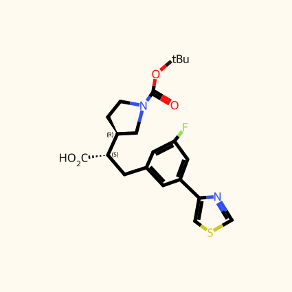 CC(C)(C)OC(=O)N1CC[C@H]([C@H](Cc2cc(F)cc(-c3cscn3)c2)C(=O)O)C1